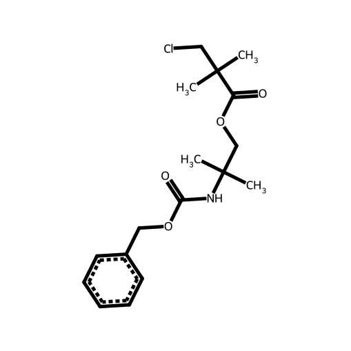 CC(C)(COC(=O)C(C)(C)CCl)NC(=O)OCc1ccccc1